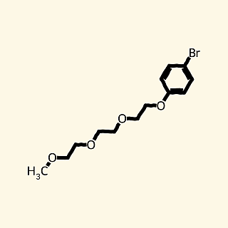 COCCOCCOCCOc1ccc(Br)cc1